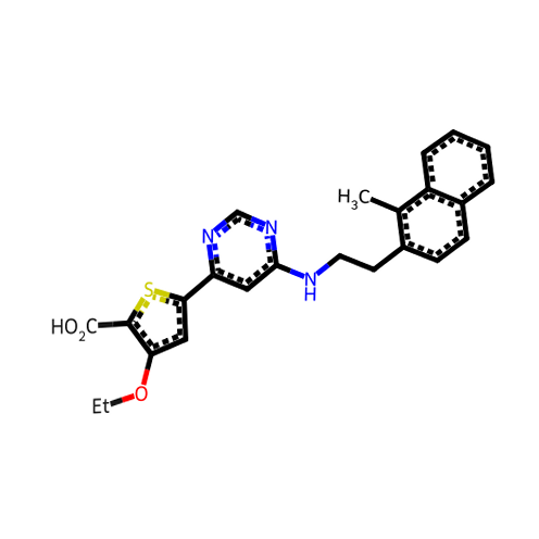 CCOc1cc(-c2cc(NCCc3ccc4ccccc4c3C)ncn2)sc1C(=O)O